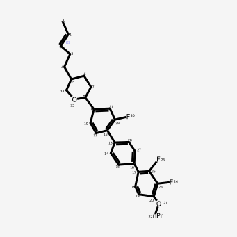 C/C=C/CCC1CCC(c2ccc(-c3ccc(-c4ccc(OCCC)c(F)c4F)cc3)c(F)c2)OC1